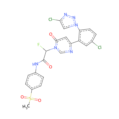 CS(=O)(=O)c1ccc(NC(=O)C(F)n2cnc(-c3cc(Cl)ccc3-n3cc(Cl)nn3)cc2=O)cc1